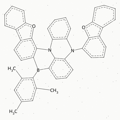 Cc1cc(C)c(B2c3cccc4c3N(c3ccccc3N4c3cccc4c3oc3ccccc34)c3c2ccc2c3oc3ccccc32)c(C)c1